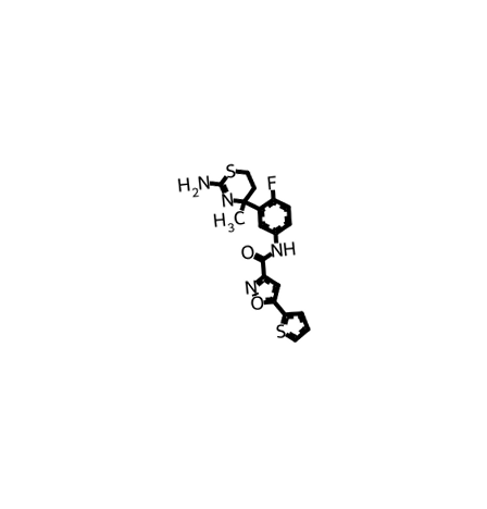 CC1(c2cc(NC(=O)c3cc(-c4cccs4)on3)ccc2F)CCSC(N)=N1